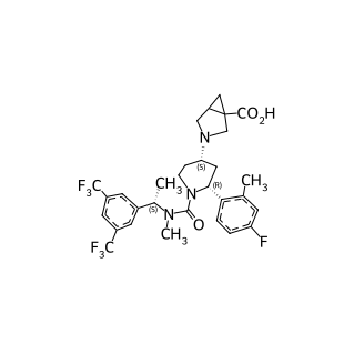 Cc1cc(F)ccc1[C@H]1C[C@@H](N2CC3CC3(C(=O)O)C2)CCN1C(=O)N(C)[C@@H](C)c1cc(C(F)(F)F)cc(C(F)(F)F)c1